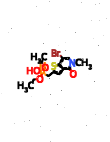 CCO[PH](O)(Cc1cc2c(=O)n(C)cc(Br)c2s1)OCC